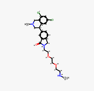 CN1Cc2c(Cl)cc(Cl)cc2C(c2ccc3c(c2)C(=O)N(CCOCCOCCNC(=O)O)C3)C1